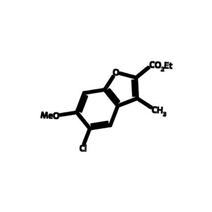 CCOC(=O)c1oc2cc(OC)c(Cl)cc2c1C